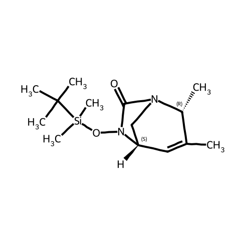 CC1=C[C@H]2CN(C(=O)N2O[Si](C)(C)C(C)(C)C)[C@@H]1C